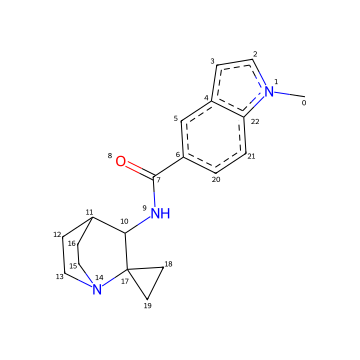 Cn1ccc2cc(C(=O)NC3C4CCN(CC4)C34CC4)ccc21